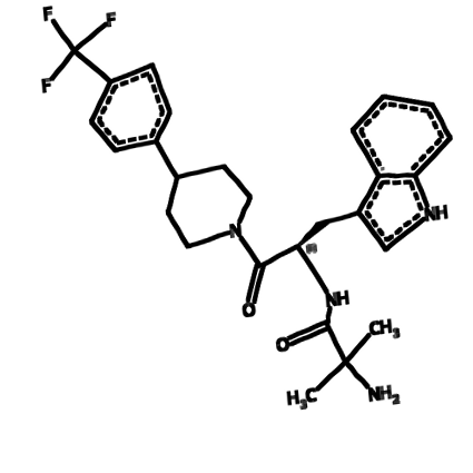 CC(C)(N)C(=O)N[C@H](Cc1c[nH]c2ccccc12)C(=O)N1CCC(c2ccc(C(F)(F)F)cc2)CC1